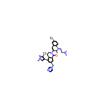 CCc1ccc2c(c1)C=C(N1CCc3c(cc(Cn4ccnc4)cc3-c3cn(C)nc3C(F)(F)F)C1=O)C(C)N2CCN(C)C